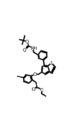 CCOC(=O)Cc1ccc(C)cc1OCc1cc(-c2cccc(CNC(=O)OC(C)(C)C)c2)c2sccc2c1